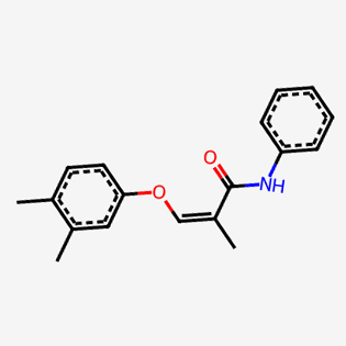 CC(=COc1ccc(C)c(C)c1)C(=O)Nc1ccccc1